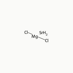 [Cl][Mg][Cl].[SrH2]